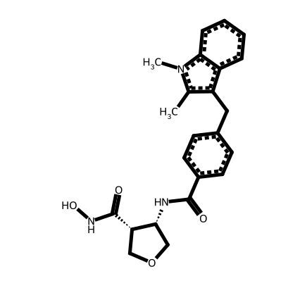 Cc1c(Cc2ccc(C(=O)N[C@@H]3COC[C@@H]3C(=O)NO)cc2)c2ccccc2n1C